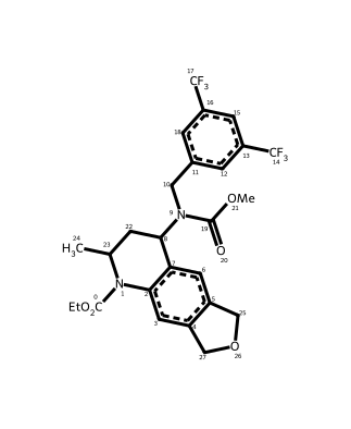 CCOC(=O)N1c2cc3c(cc2C(N(Cc2cc(C(F)(F)F)cc(C(F)(F)F)c2)C(=O)OC)CC1C)COC3